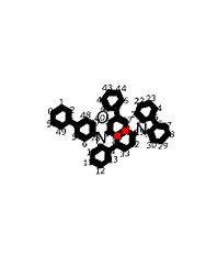 c1ccc(-c2ccc(N(c3ccccc3-c3ccc(-n4c5ccccc5c5ccccc54)cc3)c3cccc4c3oc3ccccc34)cc2)cc1